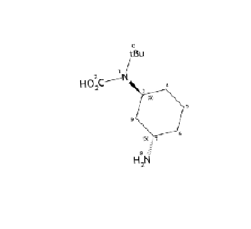 CC(C)(C)N(C(=O)O)[C@H]1CCC[C@H](N)C1